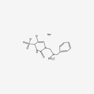 CCOC(=O)N(Cc1ccccc1)CN1C=C(Cl)C(S(=O)(=O)[O-])NC1=O.[Na+]